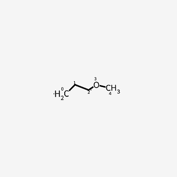 [CH2]C[CH]OC